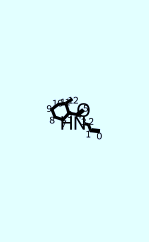 C=CCNC(=O)C1CCCCC1C